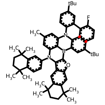 Cc1cc2c3c(c1)N(c1ccc4c(c1)C(C)(C)CCC4(C)C)c1c(oc4cc5c(cc14)C(C)(C)CCC5(C)C)B3c1cc(C(C)(C)C)ccc1N2c1ccc(C(C)(C)C)cc1-c1ccccc1F